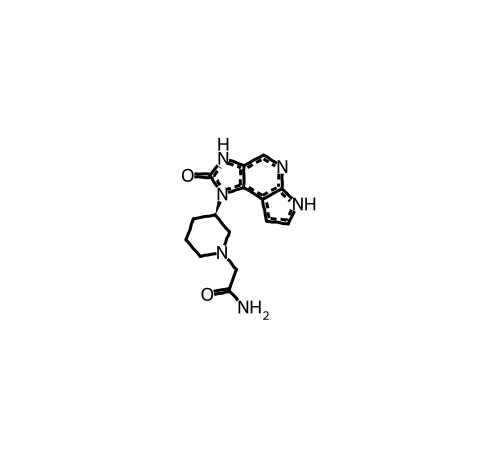 NC(=O)CN1CCC[C@@H](n2c(=O)[nH]c3cnc4[nH]ccc4c32)C1